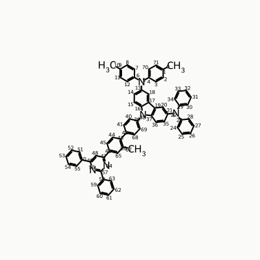 Cc1ccc(N(c2ccc(C)cc2)c2ccc3c(c2)c2cc(N(c4ccccc4)c4ccccc4)ccc2n3-c2ccc(-c3ccc(-c4cc(-c5ccccc5)nc(-c5ccccc5)n4)cc3C)cc2)cc1